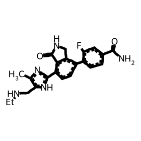 CCNCc1[nH]c(-c2ccc(-c3ccc(C(N)=O)cc3F)c3c2C(=O)NC3)nc1C